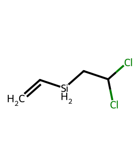 C=C[SiH2]CC(Cl)Cl